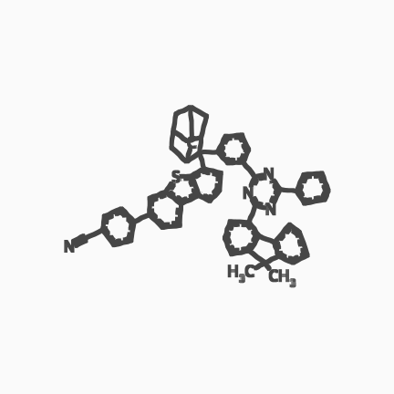 CC1(C)c2ccccc2-c2c(-c3nc(-c4ccccc4)nc(-c4cccc(C5(c6cccc7c6sc6cc(-c8ccc(C#N)cc8)ccc67)C6CC7CC(C6)CC5C7)c4)n3)cccc21